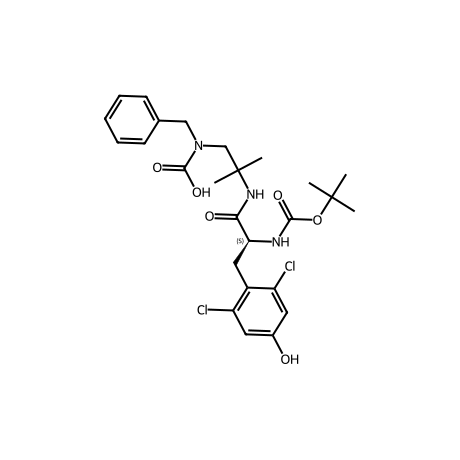 CC(C)(CN(Cc1ccccc1)C(=O)O)NC(=O)[C@H](Cc1c(Cl)cc(O)cc1Cl)NC(=O)OC(C)(C)C